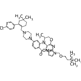 COC(=O)c1ccc(N2CCN(CC3=C(c4ccc(Cl)cc4)CC(C)(C)CC3)CC2)cc1N1c2cc3ccn(COCC[Si](C)(C)C)c3nc2OCC1C